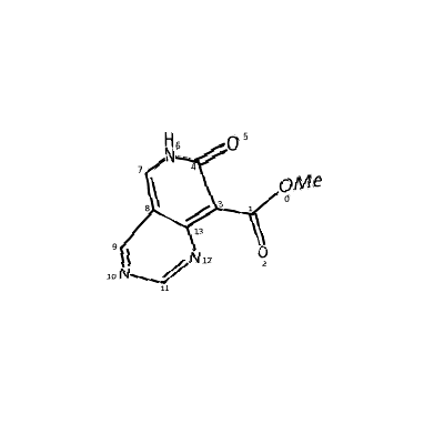 COC(=O)c1c(=O)[nH]cc2cncnc12